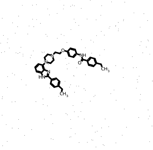 CCc1ccc(C(=O)Nc2ccc(OCCN3CCN(c4cccc5[nH]c(-c6ccc(CC)cc6)nc45)CC3)cc2)cc1